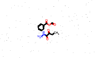 CCC(=O)C(=O)NN.O=COC(=O)c1ccccc1